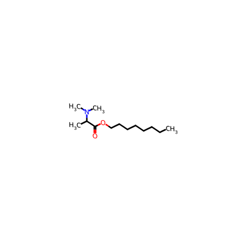 CCCCCCCCOC(=O)C(C)N(C)C